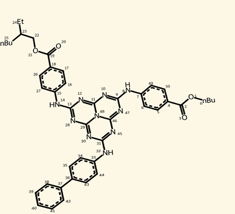 CCCCOC(=O)c1ccc(NC2=NC3=NC(Nc4ccc(C(=O)OCC(CC)CCCC)cc4)=NC4=NC(Nc5ccc(-c6ccccc6)cc5)=NC(=N2)N34)cc1